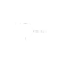 CSC(=N)S